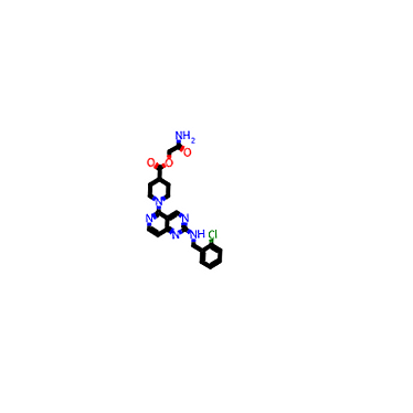 NC(=O)COC(=O)C1CCN(c2nccc3nc(NCc4ccccc4Cl)ncc23)CC1